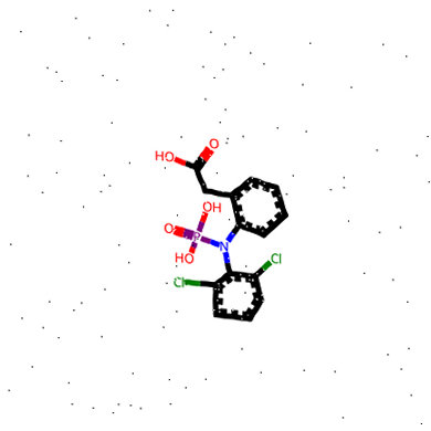 O=C(O)Cc1ccccc1N(c1c(Cl)cccc1Cl)P(=O)(O)O